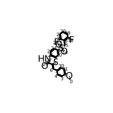 COc1ccc(/C=C2\Sc3cc(S(=O)(=O)Cc4c(F)cccc4F)ccc3NC2=O)cc1